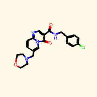 O=C(NCc1ccc(Cl)cc1)c1cnc2ccc(CN3CCOCC3)cn2c1=O